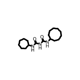 O=C(NC(=O)NC1CCCCCC1)NC1CCCCCCCC1